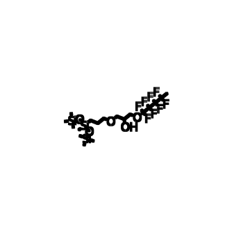 CC(F)(F)C(F)(F)C(F)(F)C(F)(F)OCC(O)COCCC[Si](C)(O[Si](C)(C)C)O[Si](C)(C)C